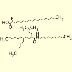 CCCCCCCCCCCCCCCCC(F)C(=O)O.CCCCCCCCCCNC(=O)C(CCC(CCCCCC)CCCCCC)CCN(C)C